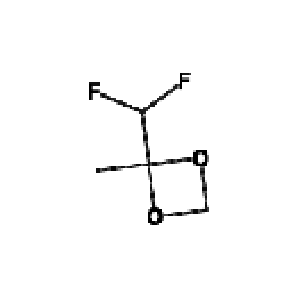 CC1(C(F)F)OCO1